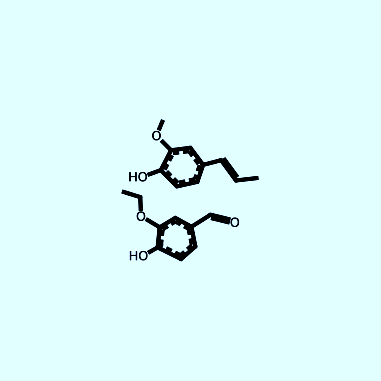 C/C=C/c1ccc(O)c(OC)c1.CCOc1cc(C=O)ccc1O